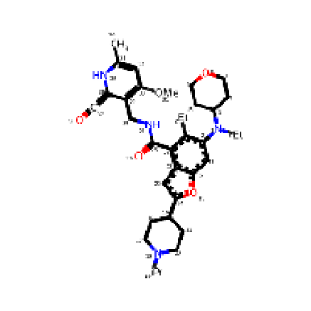 CCc1c(N(CC)C2CCOCC2)cc2oc(C3CCN(C(C)C)CC3)cc2c1C(=O)NCC1=C(OC)C=C(C)NC1=C=O